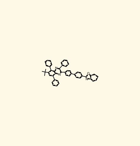 CC(C)(C)c1cc(-c2ccccc2)c2nc(-c3ccc(-c4ccc(-c5nc6ccccc6o5)cc4)cc3)c(-c3ccccc3)nc2c1-c1ccccc1